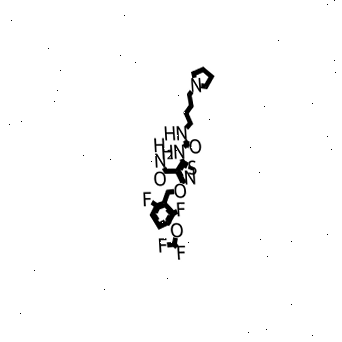 NC(=O)c1c(OCc2c(F)ccc(OC(F)F)c2F)nsc1NC(=O)NCCCCN1CCCC1